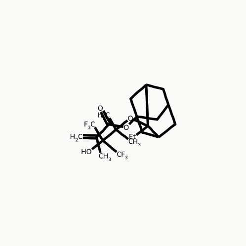 C=C(C)C(=O)OC12CC3CC(C1)C(CC)(OC(C)(C)C(O)(C(F)(F)F)C(F)(F)F)C(C3)C2